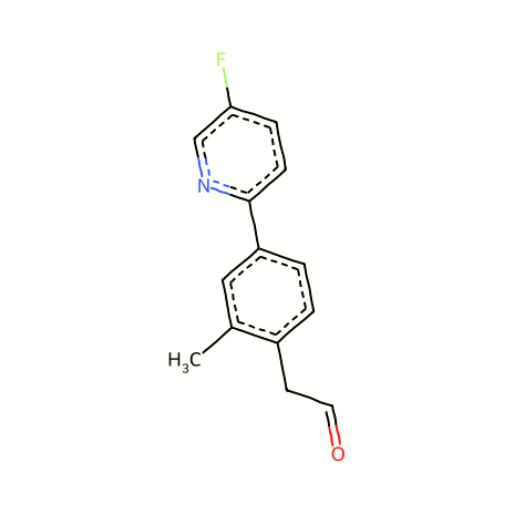 Cc1cc(-c2ccc(F)cn2)ccc1CC=O